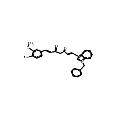 COc1cc(C=CC(=O)CC(=O)C=Cc2cn(Cc3ccccc3)c3ccccc23)ccc1O